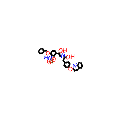 CN(C[C@H](O)c1ccc(OCc2ccccc2)c(NS(C)(=O)=O)c1)[C@@H](O)Cc1ccc(Oc2ccc3ccccc3n2)cc1